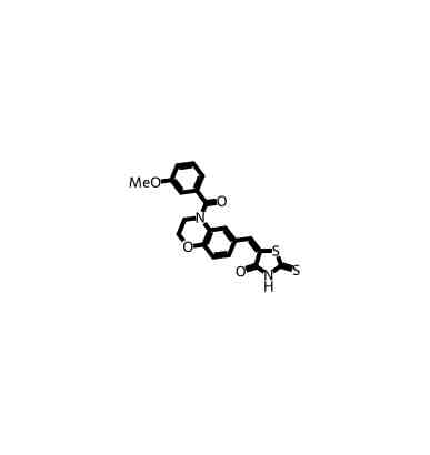 COc1cccc(C(=O)N2CCOc3ccc(C=C4SC(=S)NC4=O)cc32)c1